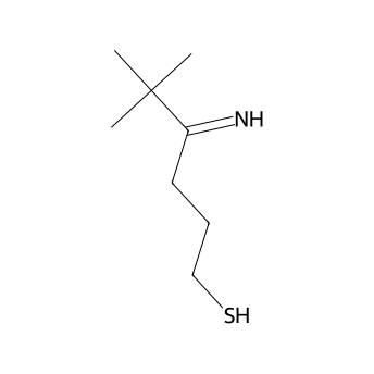 CC(C)(C)C(=N)CCCS